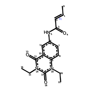 C/C=C/C(=O)Nc1ccc2c(c1)c(=O)n(CC)c(=O)n2CC